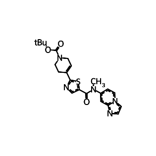 CN(C(=O)c1cnc(C2=CCN(C(=O)OC(C)(C)C)CC2)s1)c1ccn2ccnc2c1